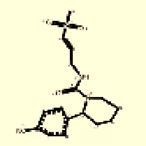 CS(=O)(=O)C=CCNC(=O)N1CCCCC1c1ccc(C#N)cc1